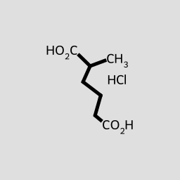 CC(CCCC(=O)O)C(=O)O.Cl